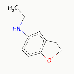 CCNc1ccc2c(c1)CCO2